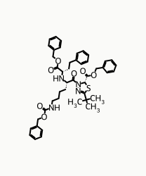 CC(C)(C)C1=NN(C(=O)[C@H](CCCCNC(=O)OCc2ccccc2)N[C@@H](CCc2ccccc2)C(=O)OCc2ccccc2)[C@H](C(=O)OCc2ccccc2)S1